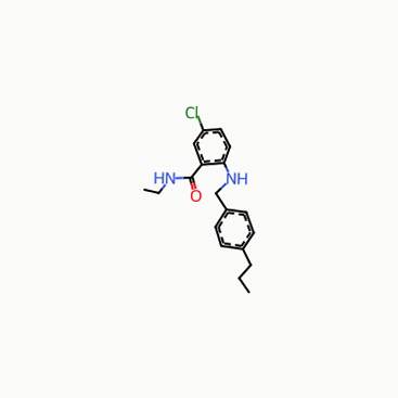 CCCc1ccc(CNc2ccc(Cl)cc2C(=O)NCC)cc1